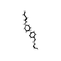 C/C=C\COCC1CCC([C@H]2CC[C@H](CC/C=C/CC)CC2)CC1